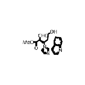 COC(=O)C(C=O)=C(CCO)n1ccnc1.c1ccc2ncccc2c1